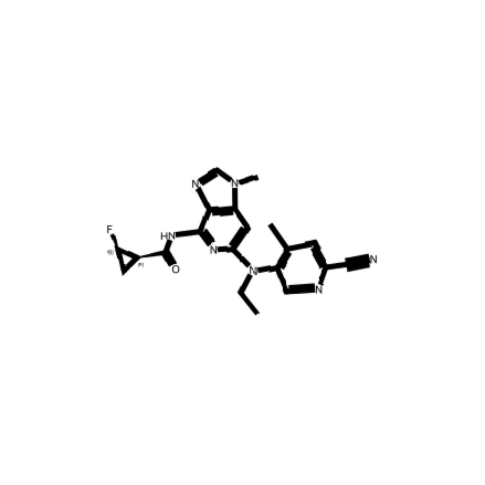 CCN(c1cc2c(ncn2C)c(NC(=O)[C@H]2C[C@H]2F)n1)c1cnc(C#N)cc1C